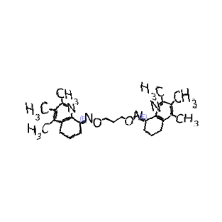 Cc1nc2c(c(C)c1C)CCC/C2=N\OCCCO/N=C1\CCCc2c1nc(C)c(C)c2C